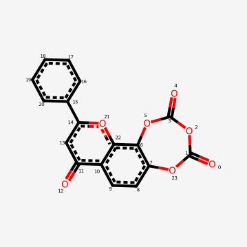 O=C1OC(=O)Oc2c(ccc3c(=O)cc(-c4ccccc4)oc23)O1